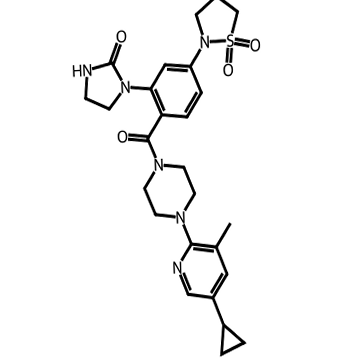 Cc1cc(C2CC2)cnc1N1CCN(C(=O)c2ccc(N3CCCS3(=O)=O)cc2N2CCNC2=O)CC1